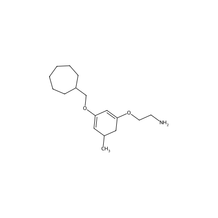 CC1C=C(OCC2CCCCCC2)C=C(OCCN)C1